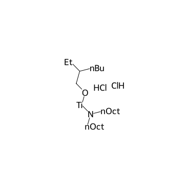 CCCCCCCC[N](CCCCCCCC)[Ti][O]CC(CC)CCCC.Cl.Cl